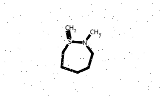 C=S1CCCCCN1C